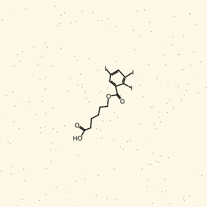 O=C(O)CCCCCOC(=O)c1cc(I)cc(I)c1I